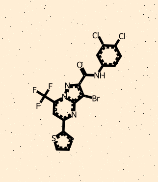 O=C(Nc1ccc(Cl)c(Cl)c1)c1nn2c(C(F)(F)F)cc(-c3cccs3)nc2c1Br